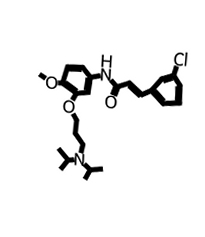 COc1ccc(NC(=O)C=Cc2cccc(Cl)c2)cc1OCCCN(C(C)C)C(C)C